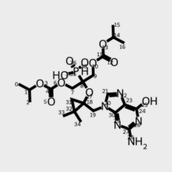 CC(C)OC(=O)OCC(COC(=O)OC(C)C)(OC1(Cn2cnc3c(O)nc(N)nc32)CC1(C)C)P(=O)(O)O